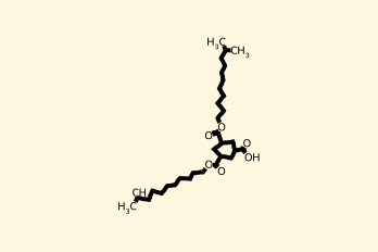 CC(C)CCCCCCCCCOC(=O)C1CC(C(=O)O)CC(C(=O)OCCCCCCCCCC(C)C)C1